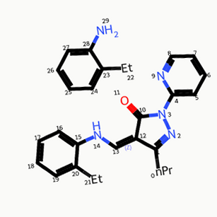 CCCC1=NN(c2ccccn2)C(=O)/C1=C\Nc1ccccc1CC.CCc1ccccc1N